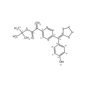 C=C(C(=O)OC(C)(C)C)c1ccc(C(=C2CCCC2)c2ccc(O)cc2)cc1